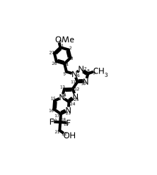 COc1ccc(Cn2nc(C)nc2-c2cn3ccc(C(F)(F)CO)nc3n2)cc1